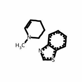 CN1C=CCCC1.c1ccc2scnc2c1